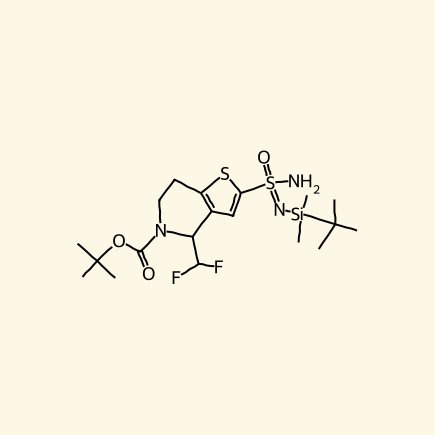 CC(C)(C)OC(=O)N1CCc2sc(S(N)(=O)=N[Si](C)(C)C(C)(C)C)cc2C1C(F)F